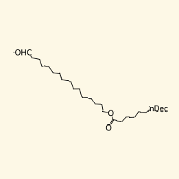 CCCCCCCCCCCCCCCC(=O)OCCCCCCCCCCCCCCC[C]=O